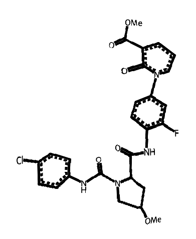 COC(=O)c1cccn(-c2ccc(NC(=O)C3CC(OC)CN3C(=O)Nc3ccc(Cl)cc3)c(F)c2)c1=O